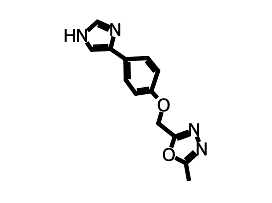 Cc1nnc(COc2ccc(-c3c[nH]cn3)cc2)o1